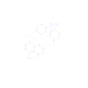 Nc1ccc(S(=O)(=O)Oc2ccc(NCl)cc2)c2cc(S(=O)(=O)Oc3ccc(NCl)cc3)cc(O)c12